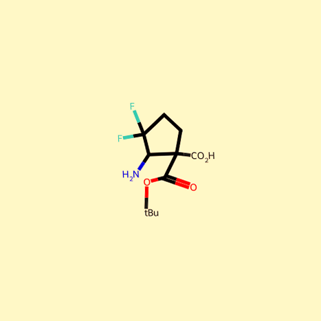 CC(C)(C)OC(=O)C1(C(=O)O)CCC(F)(F)C1N